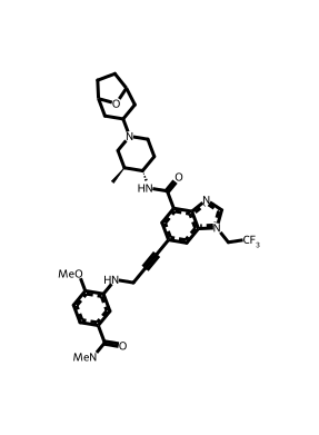 CNC(=O)c1ccc(OC)c(NCC#Cc2cc(C(=O)N[C@H]3CCN(C4CC5CCC(C4)O5)C[C@@H]3C)c3ncn(CC(F)(F)F)c3c2)c1